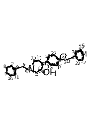 O[C@@H]1CN(CCc2ccccc2)CC[C@@H]1c1ccc(OCc2ccccc2)cc1